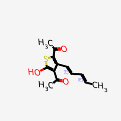 C/C=C/C=C/c1c(C(C)=O)sc(O)c1C(C)=O